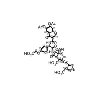 CO[C@@]1(NC(=O)C(NC(=O)c2coc3cc(OC(C)=O)c(OC(C)=O)cc3c2=O)c2ccc(OCC(=O)O)cc2)C(=O)N2C(C(=O)O)=C(CSc3nnnn3CC(=O)O)CS[C@H]21